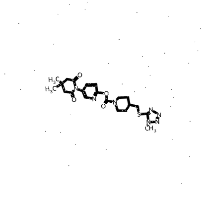 Cn1nnnc1SCC1CCN(C(=O)Oc2ccc(N3C(=O)CC(C)(C)CC3=O)cn2)CC1